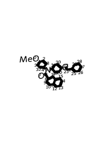 COc1ccc(N(C(=O)c2ccc3ccccc3c2)c2ccc(OCc3ccccc3)cc2)cc1